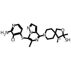 Cc1nc(N2CCC3(CC2)COC(C)(S)[C@H]3C)c2ccnn2c1Sc1ccnc(N)c1Cl